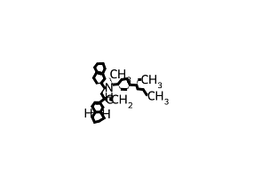 C=C=C(C[C@H](N[C@H](CC)[C@H]1CC[C@@H]([C@H](CC)CCCC)CC1)[C@H]1CCC2=C(CCCC2)C1)C1=CC[C@@H]2CCCC[C@@H]2C1